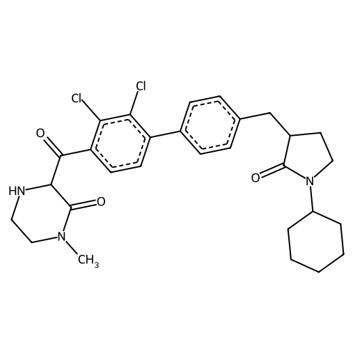 CN1CCNC(C(=O)c2ccc(-c3ccc(CC4CCN(C5CCCCC5)C4=O)cc3)c(Cl)c2Cl)C1=O